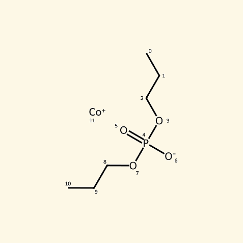 CCCOP(=O)([O-])OCCC.[Co+]